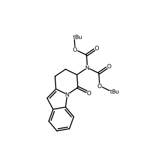 CC(C)(C)OC(=O)N(C(=O)OC(C)(C)C)C1CCc2cc3ccccc3n2C1=O